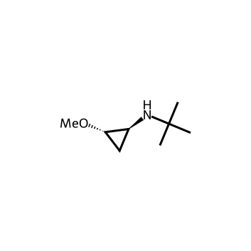 CO[C@H]1C[C@@H]1NC(C)(C)C